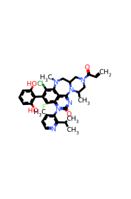 C=CC(=O)N1CC(C)N2c3nc(=O)n(-c4c(C)ccnc4C(C)C)c4c(F)c(-c5c(O)cccc5O)c(Cl)c(c34)N(C)CC2C1